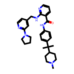 CN1CCC(C(C)(C)c2ccc(NC(=O)c3cccnc3NCc3ccnc(N4CCCC4)c3)cc2)CC1